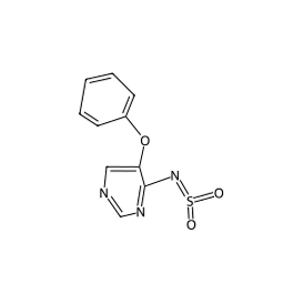 O=S(=O)=Nc1ncncc1Oc1ccccc1